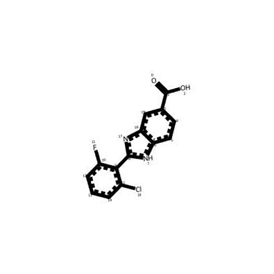 O=C(O)c1ccc2[nH]c(-c3c(F)cccc3Cl)nc2c1